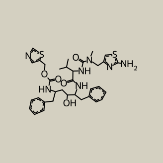 CC(C)C(NC(=O)N(C)Cc1csc(N)n1)C(=O)NC(Cc1ccccc1)C(O)CC(Cc1ccccc1)NC(=O)OCc1cncs1